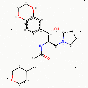 O=C(CCC1CCOCC1)N[C@H](CN1CCCC1)[C@@H](O)c1ccc2c(c1)OCCO2